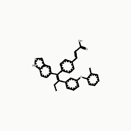 CC/C(=C(/c1ccc(/C=C/C(=O)O)cc1)c1ccc2[nH]ncc2c1)c1cccc(Oc2ccccc2C)c1